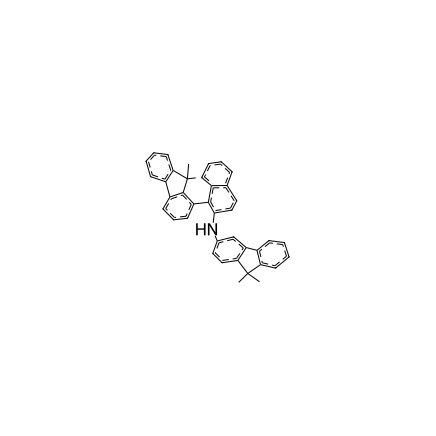 CC1(C)c2ccccc2-c2cc(Nc3ccc4ccccc4c3-c3cccc4c3C(C)(C)c3ccccc3-4)ccc21